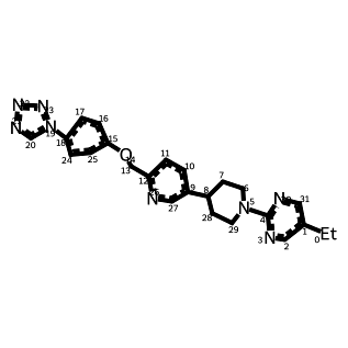 CCc1cnc(N2CCC(c3ccc(COc4ccc(-n5cnnn5)cc4)nc3)CC2)nc1